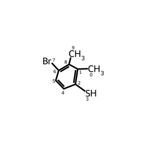 Cc1c(S)ccc(Br)c1C